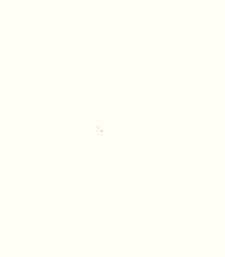 CCN1CC[S+]([O-])CC1C